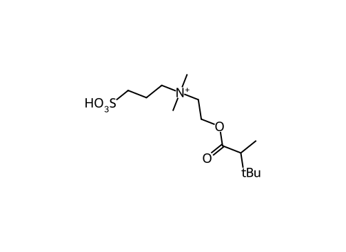 CC(C(=O)OCC[N+](C)(C)CCCS(=O)(=O)O)C(C)(C)C